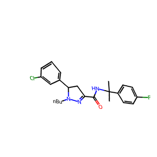 CCCCN1N=C(C(=O)NC(C)(C)c2ccc(F)cc2)CC1c1cccc(Cl)c1